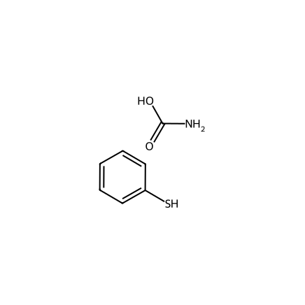 NC(=O)O.Sc1ccccc1